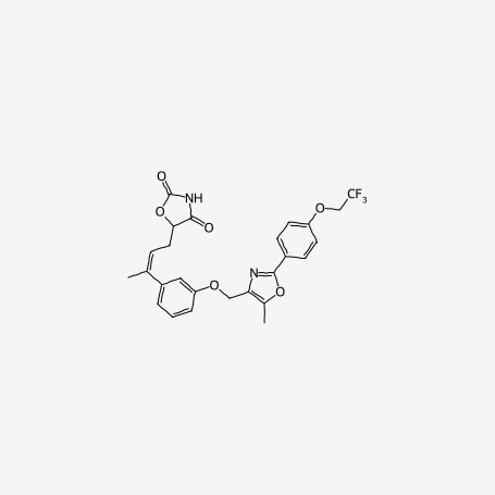 C/C(=C/CC1OC(=O)NC1=O)c1cccc(OCc2nc(-c3ccc(OCC(F)(F)F)cc3)oc2C)c1